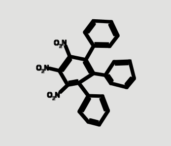 O=[N+]([O-])c1c(-c2ccccc2)c(-c2ccccc2)c(-c2ccccc2)c([N+](=O)[O-])c1[N+](=O)[O-]